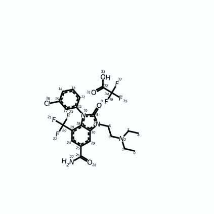 CCN(CC)CCn1c(=O)n(-c2cccc(Cl)c2)c2c(C(F)(F)F)cc(C(N)=O)cc21.O=C(O)C(F)(F)F